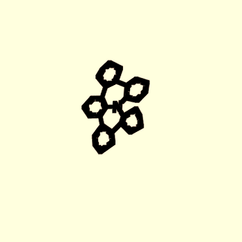 c1ccc2c(c1)-c1ccccc1N1c3ccccc3-c3ccccc3-c3cccc-2c31